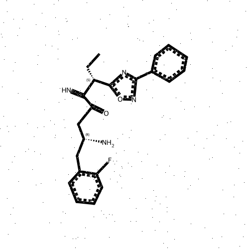 CC[C@@H](C(=N)C(=O)C[C@H](N)Cc1ccccc1F)c1nc(-c2ccccc2)no1